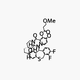 COCCC(=O)Oc1c2n(ccc1=O)N([C@@H]1c3ccccc3SCc3c1ccc(F)c3F)[C@@H]1[C@H]3C[C@@H]4CC[C@@]3(CCN1C2=O)O4